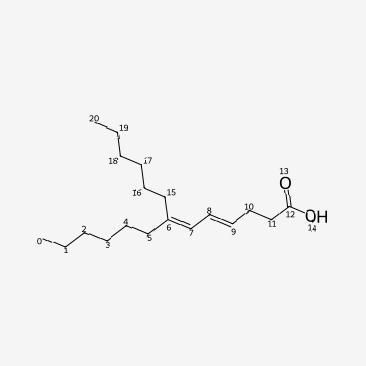 CCCCCCC(=C/C=C/CCC(=O)O)CCCCCC